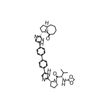 CC(C)[C@H](NC1OCO1)C(=O)N1CCC[C@H]1c1ncc(-c2ccc(-c3ccc(-c4cnc([C@@H]5CC[C@H]6CCCCC(=O)N65)[nH]4)cc3)cc2)[nH]1